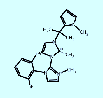 CC(C)c1cccc(C(C)C)c1-n1cc[n+](C)c1N1C=CN(C(C)(C)c2cccn2C)[C@@H]1C